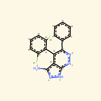 Nc1n[nH]c2nnc(-c3ccccc3)c(-c3c(F)cccc3F)c12